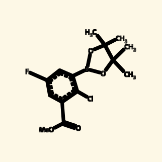 COC(=O)c1cc(F)cc(B2OC(C)(C)C(C)(C)O2)c1Cl